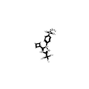 NS(=O)(=O)c1ccc(-n2nc(C(F)(F)F)nc2C2CCC2)cc1